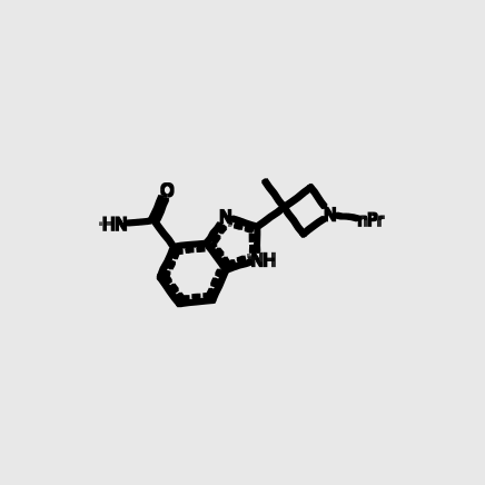 CCCN1CC(C)(c2nc3c(C([NH])=O)cccc3[nH]2)C1